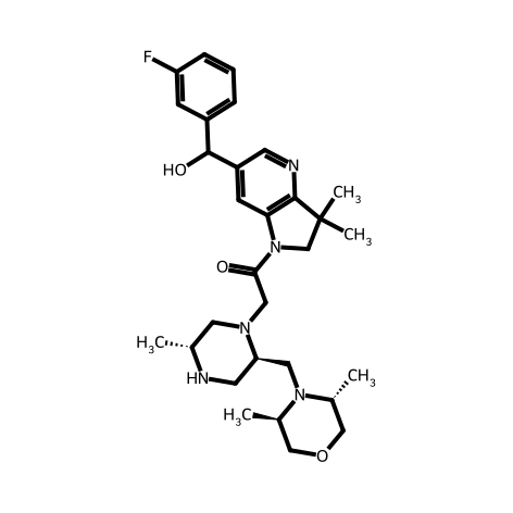 C[C@@H]1CN(CC(=O)N2CC(C)(C)c3ncc(C(O)c4cccc(F)c4)cc32)[C@@H](CN2[C@H](C)COC[C@H]2C)CN1